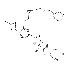 CCC(CC)(NC(=O)c1ccc(N2CC(F)C2)c(OCC2CC2COCc2ccccc2)n1)C(=O)N[C@H](CO)CC(C)C